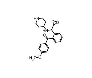 COc1ccc(C(=O)c2ccccc2C(NC2CCNCC2)C2CO2)cc1